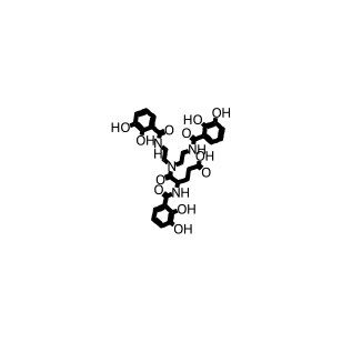 O=C(O)CCC(NC(=O)c1cccc(O)c1O)C(=O)N(CCNC(=O)c1cccc(O)c1O)CCNC(=O)c1cccc(O)c1O